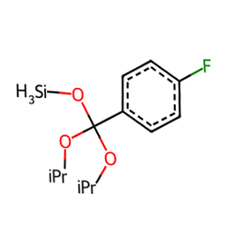 CC(C)OC(O[SiH3])(OC(C)C)c1ccc(F)cc1